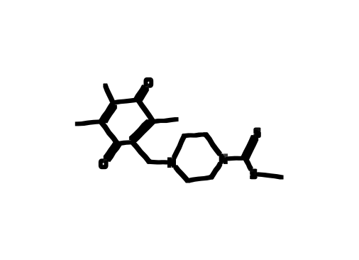 CSC(=S)N1CCN(CC2=C(C)C(=O)C(C)=C(C)C2=O)CC1